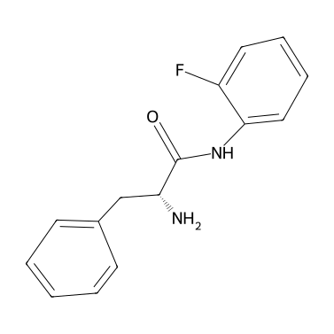 N[C@H](Cc1ccccc1)C(=O)Nc1ccccc1F